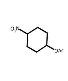 CC(=O)OC1CCC([N+](=O)[O-])CC1